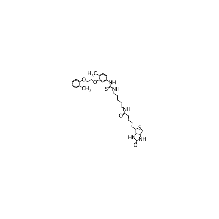 Cc1ccccc1OCCOc1cc(NC(=S)NCCCCCNC(=O)CCCCC2SCC3NC(=O)NC32)ccc1C